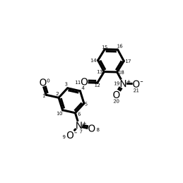 O=Cc1cccc([N+](=O)[O-])c1.O=Cc1ccccc1[N+](=O)[O-]